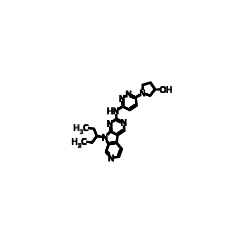 CCC(CC)n1c2cnccc2c2cnc(Nc3ccc(N4CC[C@@H](O)C4)nn3)nc21